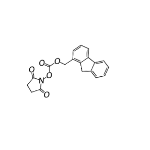 O=C(OCc1cccc2c1Cc1ccccc1-2)ON1C(=O)CCC1=O